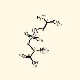 CC(C)CNS(=O)(=O)C[C@H](N)C(=O)O